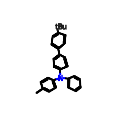 Cc1ccc(N(c2ccccc2)c2ccc(-c3ccc(C(C)(C)C)cc3)cc2)cc1